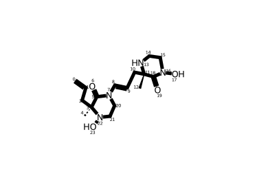 C=CC[C@@]1(C)C(=O)N(/C=C/C[C@]2(C)NCCN(O)C2=O)CCN1O